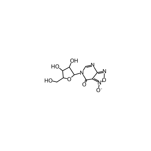 O=c1c2c(ncn1C1OC(CO)C(O)C1O)no[n+]2[O-]